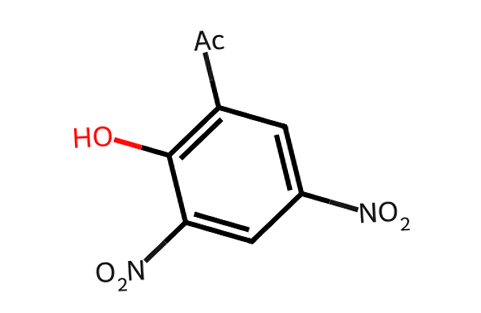 CC(=O)c1cc([N+](=O)[O-])cc([N+](=O)[O-])c1O